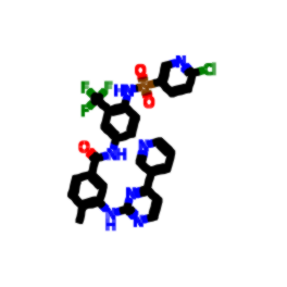 Cc1ccc(C(=O)Nc2ccc(NS(=O)(=O)c3ccc(Cl)nc3)c(C(F)(F)F)c2)cc1Nc1nccc(-c2cccnc2)n1